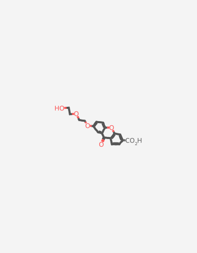 O=C(O)c1ccc2c(=O)c3cc(OCCOCCO)ccc3oc2c1